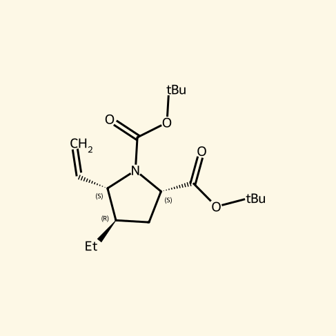 C=C[C@H]1[C@H](CC)C[C@@H](C(=O)OC(C)(C)C)N1C(=O)OC(C)(C)C